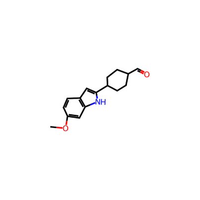 COc1ccc2cc(C3CCC(C=O)CC3)[nH]c2c1